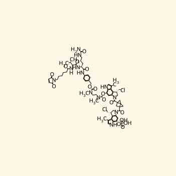 Cc1c[nH]c2c(OC(=O)N(C)CCN(C)C(=O)OCc3ccc(NC(=O)[C@H](CCCNC(N)=O)NC(=O)[C@@H](NC(=O)CCCCCN4C(=O)C=CC4=O)C(C)C)cc3)cc3c(c12)[C@H](CCl)CN3C(=O)C12CC3(C(=O)N4C[C@@H](CCl)c5c4cc(OP(=O)(O)O)c4[nH]cc(C)c54)CC13C2